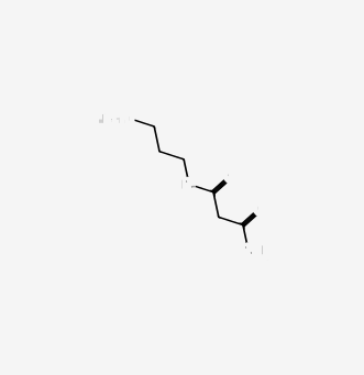 CCCCCCCCNC(=O)CC(N)=O